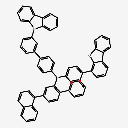 c1ccc(-c2ccc(-c3cccc4ccccc34)cc2N(c2ccc(-c3cccc(-n4c5ccccc5c5ccccc54)c3)cc2)c2ccc(-c3cccc4c3oc3ccccc34)cc2)cc1